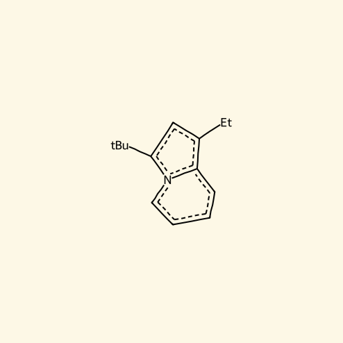 CCc1cc(C(C)(C)C)n2ccccc12